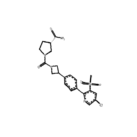 CS(=O)(=O)c1cc(Cl)cnc1-c1ccc(C2CN(C(=O)N3CC[C@H](C(N)=O)C3)C2)cc1